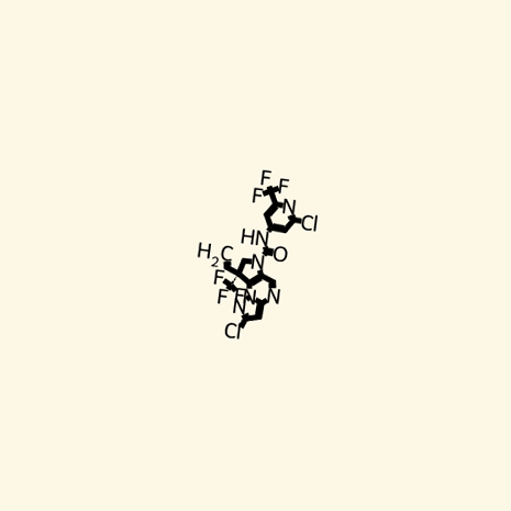 C=C[C@@]1(C(F)(F)F)CN(C(=O)Nc2cc(Cl)nc(C(F)(F)F)c2)c2cnc3cc(Cl)nn3c21